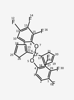 Fc1ccc([O][Zr]([O]c2ccc(F)c(F)c2F)([C]2=CC=CC2)[C]2=CC=CC2)c(F)c1F